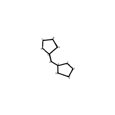 C1CCC(CC2CCCC2)C1